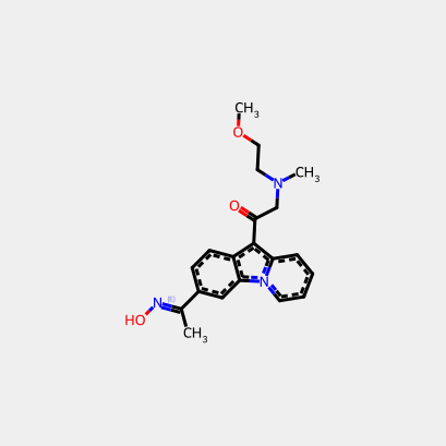 COCCN(C)CC(=O)c1c2ccc(/C(C)=N/O)cc2n2ccccc12